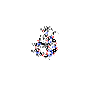 CCCSc1nnc(-c2ccc(OCCNC(=O)c3ccc(C(=O)N(CCNC(=O)CC(C)(C)COCC(C)(C)CNC(=O)CC(C)(C)COCC(C)(C)CNC(=O)C(C)(C)CCC(C)(C)C)CCNC(=O)CC(C)(C)COCC(C)(C)CNC(=O)CC(C)(C)OCC(C)(C)CNC(=O)C(C)(C)CCC(C)(C)C)cc3)cc2)o1